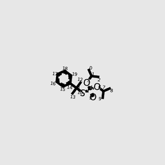 CC(C)OP(=O)(OC(C)C)SC(C)(C)c1ccccc1